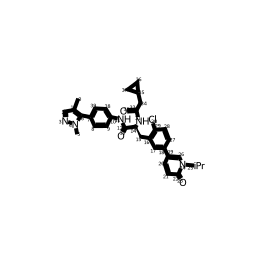 Cc1cnn(C)c1-c1ccc(NC(=O)[C@H](Cc2cc(-c3ccc(=O)n(C(C)C)c3)ccc2Cl)NC(=O)CC2CC2)cc1